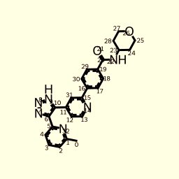 Cc1cccc(-c2nn[nH]c2-c2ccnc(-c3ccc(C(=O)NC4CCOCC4)cc3)c2)n1